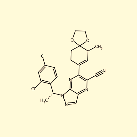 CC1C=C(c2nc3c(cnn3[C@H](C)c3ccc(Cl)cc3Cl)nc2C#N)CCC12OCCO2